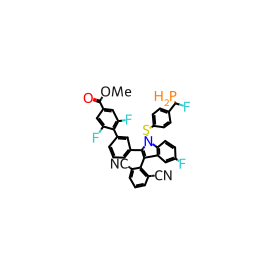 COC(=O)c1cc(F)c(-c2cccc(-c3c(-c4c(C#N)cccc4C#N)c4cc(F)ccc4n3Sc3ccc(C(F)P)cc3)c2)c(F)c1